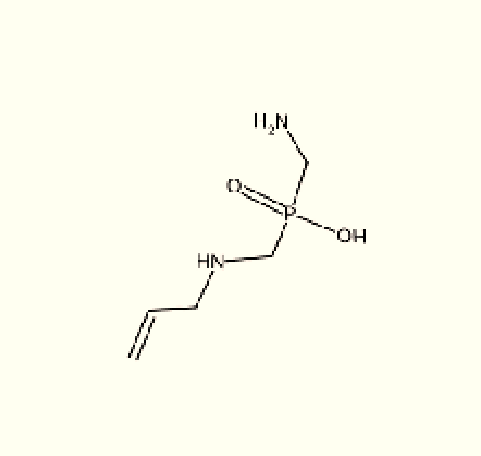 C=CCNCP(=O)(O)CN